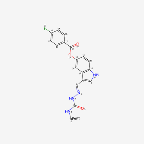 CCCCCNC(=O)N/N=C/c1c[nH]c2ccc(OC(=O)c3ccc(F)cc3)cc12